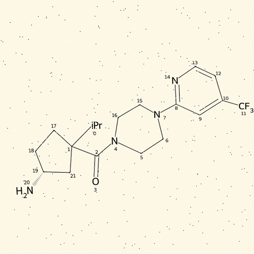 CC(C)C1(C(=O)N2CCN(c3cc(C(F)(F)F)ccn3)CC2)CC[C@@H](N)C1